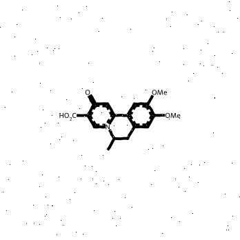 COc1cc2c(cc1OC)-c1cc(=O)c(C(=O)O)cn1C(C)C2